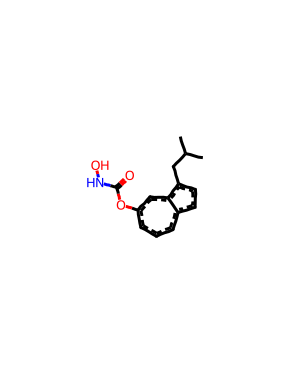 CC(C)Cc1ccc2cccc(OC(=O)NO)cc1-2